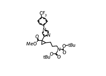 COC(=O)C1(c2cn(-c3ccc(C(F)(F)F)cc3)cn2)CC1CCCN(C(=O)OC(C)(C)C)C(=O)OC(C)(C)C